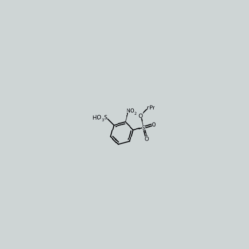 CCCOS(=O)(=O)c1cccc(S(=O)(=O)O)c1[N+](=O)[O-]